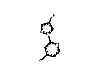 CC(C)(C)c1cnn(-c2cc(Cl)ccn2)c1